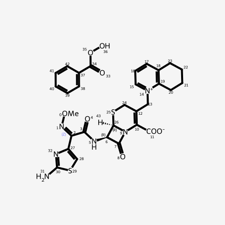 CO/N=C(\C(=O)N[C@@H]1C(=O)N2C(C(=O)[O-])=C(C[n+]3cccc4c3CCCC4)CS[C@H]12)c1csc(N)n1.O=C(OO)c1ccccc1